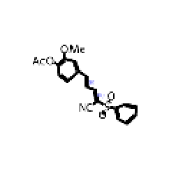 COc1cc(/C=C/C=C(\C#N)S(=O)(=O)c2ccccc2)ccc1OC(C)=O